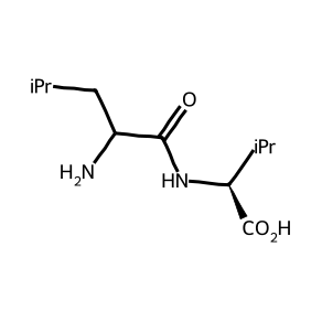 CC(C)CC(N)C(=O)N[C@H](C(=O)O)C(C)C